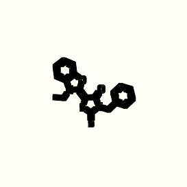 CCN1/C(=C2\SC(=S)N(Cc3ccccc3)C2=O)Oc2ccccc21